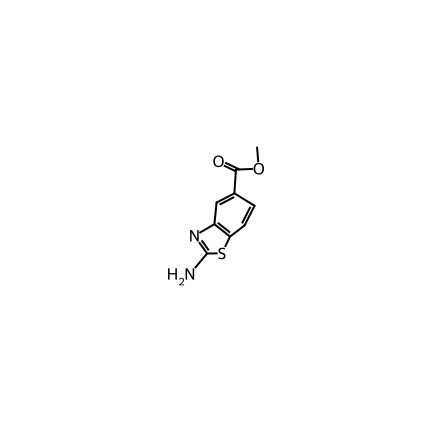 COC(=O)c1ccc2sc(N)nc2c1